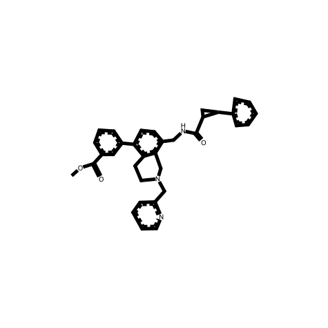 COC(=O)c1cccc(-c2ccc(CNC(=O)C3CC3c3ccccc3)c3c2CCN(Cc2ccccn2)C3)c1